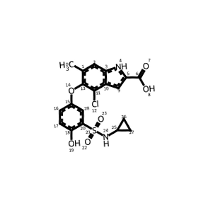 Cc1cc2[nH]c(C(=O)O)cc2c(Cl)c1Oc1ccc(O)c(S(=O)(=O)NC2CC2)c1